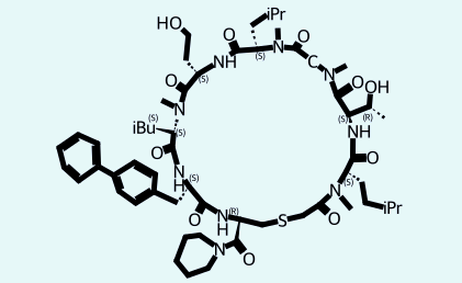 CC[C@H](C)[C@H]1C(=O)N[C@@H](Cc2ccc(-c3ccccc3)cc2)C(=O)N[C@H](C(=O)N2CCCCC2)CSCC(=O)N(C)[C@@H](CCC(C)C)C(=O)N[C@@H]([C@@H](C)O)C(=O)N(C)CC(=O)N(C)[C@@H](CC(C)C)C(=O)N[C@@H](CCO)C(=O)N1C